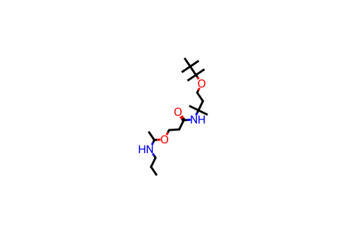 CCCNC(C)OCCC(=O)NC(C)(C)CCOC(C)(C)C(C)(C)C